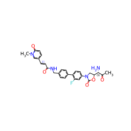 CC(=O)[C@@H](N)C1CN(c2ccc(-c3ccc(CNC(=O)/C=C/c4ccc(=O)n(C)c4)cc3)c(F)c2)C(=O)O1